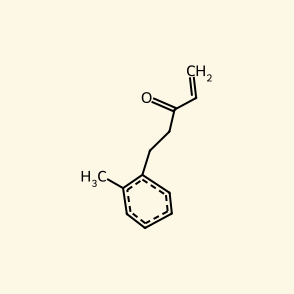 C=CC(=O)CCc1ccccc1C